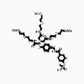 COCCOCCNC(=O)CN(CC(=O)NCCOCCOC)[C@H](Cc1ccc(CNC(=O)C2CCC(OP(C)(=O)S)CC2)cc1)C(=O)NCCOCCOC